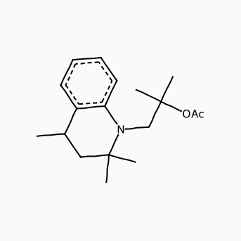 CC(=O)OC(C)(C)CN1c2ccccc2C(C)CC1(C)C